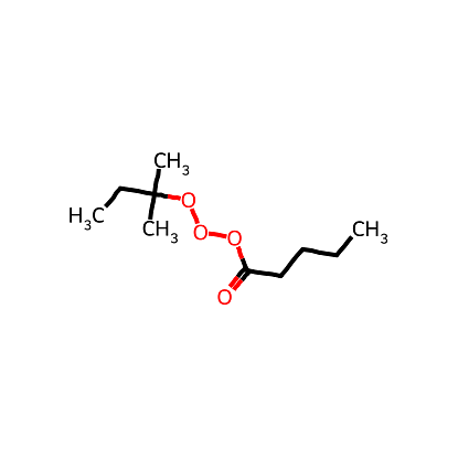 CCCCC(=O)OOOC(C)(C)CC